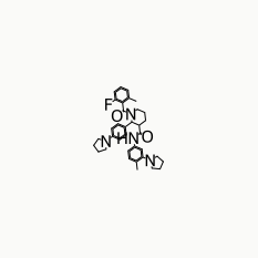 Cc1ccc(NC(=O)C2CCCN(C(=O)c3c(C)cccc3F)C2c2ccc(N3CCCC3)cc2)cc1N1CCCC1